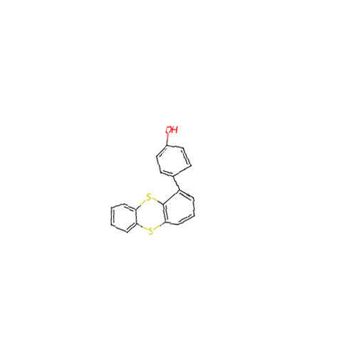 Oc1ccc(-c2cccc3c2Sc2ccccc2S3)cc1